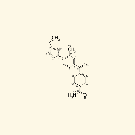 CCc1ncn(-c2ccc(C(=O)N3CCN(C(N)=O)CC3)cc2C)n1